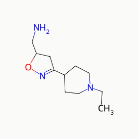 CCN1CCC(C2=NOC(CN)C2)CC1